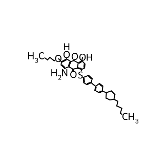 CCCCCC1CCC(c2ccc(-c3ccc(Sc4ccc(O)c5c4C(=O)c4c(N)cc(OCCCC)c(O)c4C5=O)cc3)cc2)CC1